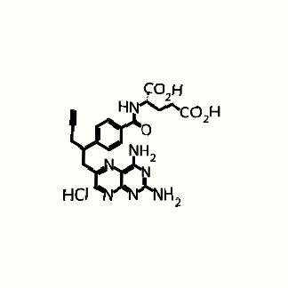 C#CCC(Cc1cnc2nc(N)nc(N)c2n1)c1ccc(C(=O)N[C@@H](CCC(=O)O)C(=O)O)cc1.Cl